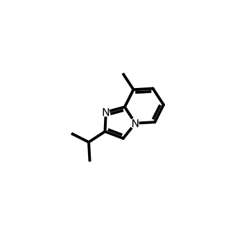 Cc1cccn2cc(C(C)C)nc12